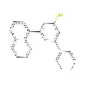 Sc1cc(C2=CCCC=C2)cc(-c2cccc3ccccc23)c1